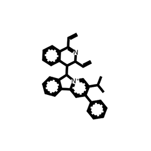 C=CC1=NC(C=C)C(C2c3ccccc3-c3cc(-c4ccccc4)c(C(C)C)c[n+]32)c2ccccc21